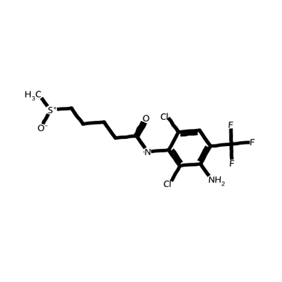 C[S+]([O-])CCCCC(=O)[N]c1c(Cl)cc(C(F)(F)F)c(N)c1Cl